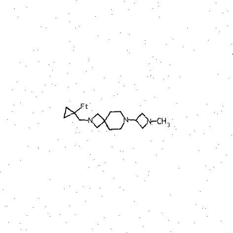 CCC1(CN2CC3(CCN(C4CN(C)C4)CC3)C2)CC1